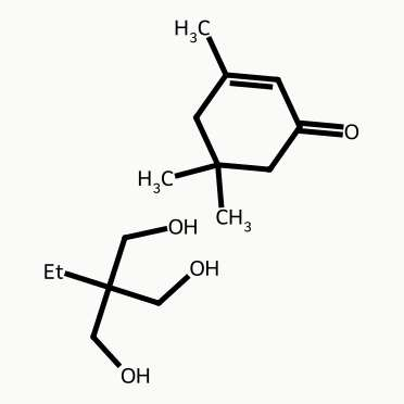 CC1=CC(=O)CC(C)(C)C1.CCC(CO)(CO)CO